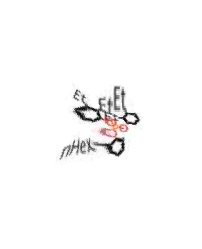 CCCCCCc1ccccc1OP(Oc1cccc(CC)c1CC)Oc1cccc(CC)c1CC